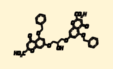 O=C(O)c1cc(=O)c2c(OCc3ccccc3)cc(OCC(O)COc3cc(OCc4ccccc4)c4c(=O)cc(C(=O)O)oc4c3)cc2o1